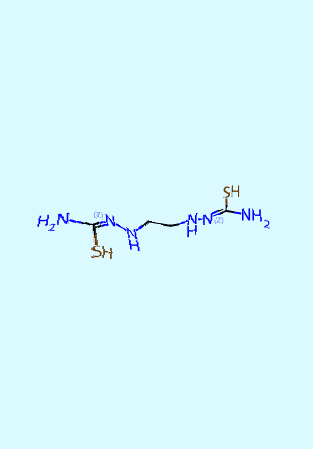 N/C(S)=N/NCCN/N=C(/N)S